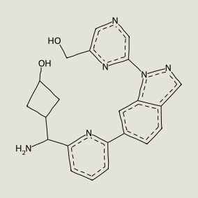 NC(c1cccc(-c2ccc3cnn(-c4cncc(CO)n4)c3c2)n1)C1CC(O)C1